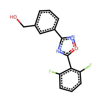 OCc1cccc(-c2noc(-c3c(F)cccc3F)n2)c1